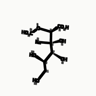 O=C(O)O[C@@H](C(=O)O)[C@](O)([Na])[C@H](O)[C@H](O)CO